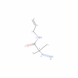 C=CCNC(=O)C(C)(C)N=N